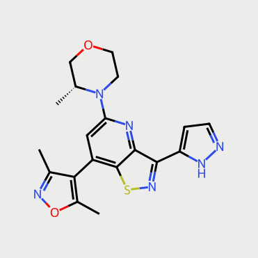 Cc1noc(C)c1-c1cc(N2CCOC[C@H]2C)nc2c(-c3ccn[nH]3)nsc12